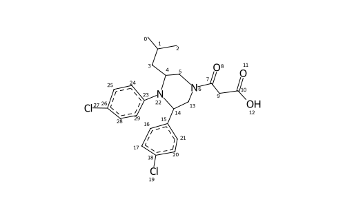 CC(C)CC1CN(C(=O)CC(=O)O)CC(c2ccc(Cl)cc2)N1c1ccc(Cl)cc1